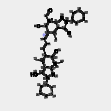 Cc1c2c(n(C=O)c(=O)/c1=C/C=Cc1c(C)c3c(O)n(-c4ccccc4)nc3n(C)c1=O)=NN(c1ccccc1)C2=O